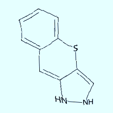 C1=C2NNC=C2Sc2ccccc21